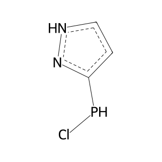 ClPc1cc[nH]n1